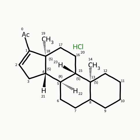 CC(=O)C1=CC[C@H]2[C@@H]3CCC4CCCC[C@]4(C)[C@H]3CC[C@]12C.Cl